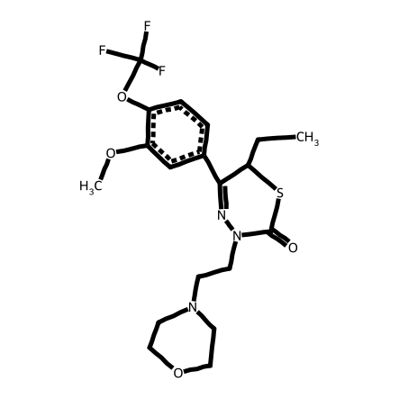 CCC1SC(=O)N(CCN2CCOCC2)N=C1c1ccc(OC(F)(F)F)c(OC)c1